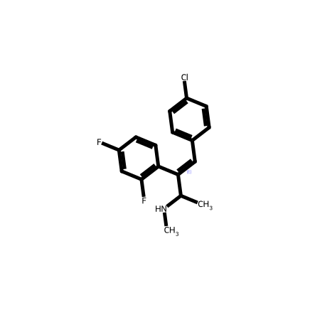 CNC(C)/C(=C/c1ccc(Cl)cc1)c1ccc(F)cc1F